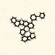 c1ccc(-c2cccc(-c3ccc(N(c4ccccc4-c4cccc5oc6c7ccccc7ccc6c45)c4cccc5oc6ccccc6c45)cc3)c2)cc1